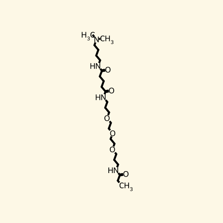 CCC(=O)NCCCOCCOCCOCCCNC(=O)CCCC(=O)NCCCCN(C)C